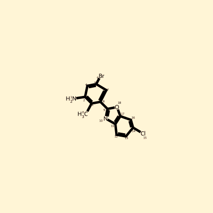 Cc1c(N)cc(Br)cc1-c1nc2ccc(Cl)cc2o1